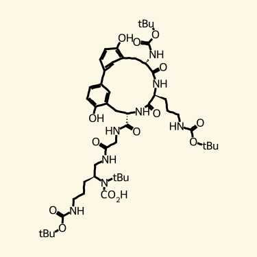 CC(C)(C)OC(=O)NCCC[C@@H](CNC(=O)CNC(=O)[C@@H]1Cc2cc(ccc2O)-c2ccc(O)c(c2)C[C@H](NC(=O)OC(C)(C)C)C(=O)N[C@@H](CCCNC(=O)OC(C)(C)C)C(=O)N1)N(C(=O)O)C(C)(C)C